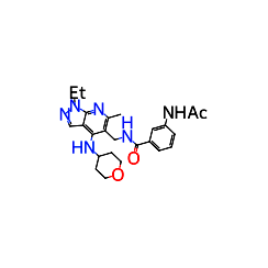 CCn1ncc2c(NC3CCOCC3)c(CNC(=O)c3cccc(NC(C)=O)c3)c(C)nc21